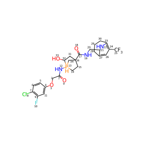 O=C(COc1ccc(Cl)c(F)c1)N[PH]12CCC(C(=O)NCC3NC4=C(C(F)(F)F)C=C3CCC4)(CC1O)C2